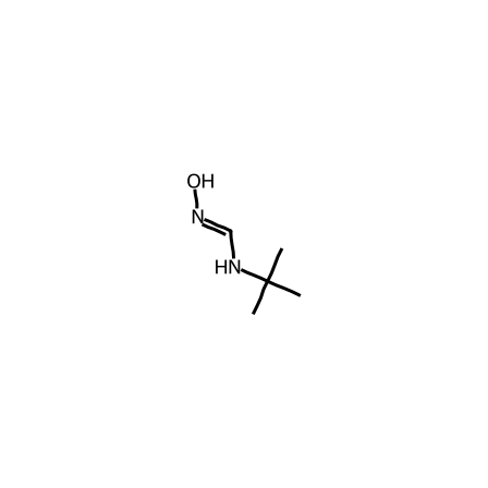 CC(C)(C)NC=NO